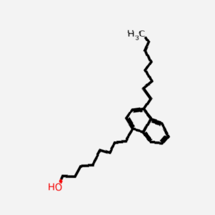 CCCCCCCCc1ccc(CCCCCCCCO)c2ccccc12